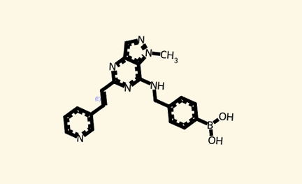 Cn1ncc2nc(/C=C/c3cccnc3)nc(NCc3ccc(B(O)O)cc3)c21